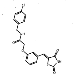 O=C(COc1cccc(/C=C2\SC(=O)NC2=O)c1)NCc1ccc(Cl)cc1